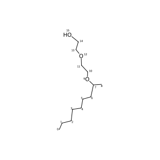 CCCCCCCC(C)OCCOCCO